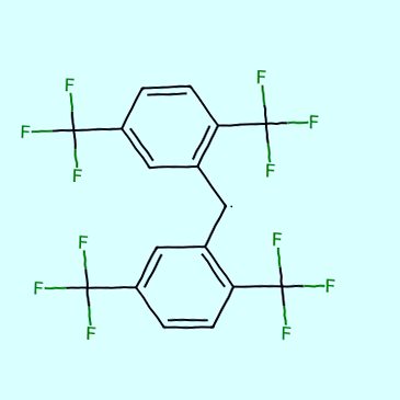 FC(F)(F)c1ccc(C(F)(F)F)c([CH]c2cc(C(F)(F)F)ccc2C(F)(F)F)c1